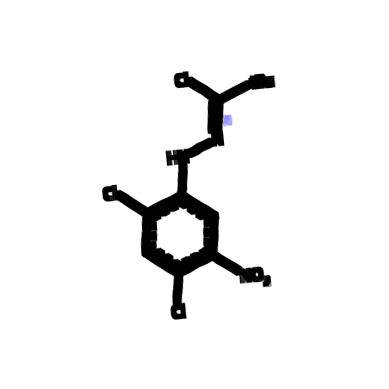 CC(C)(C)/C(Cl)=N/Nc1cc([N+](=O)[O-])c(Cl)cc1Cl